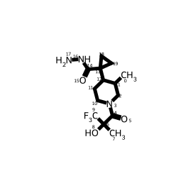 CC1CN(C(=O)C(C)(O)C(F)(F)F)CCC1C1(C(=O)NN)CC1